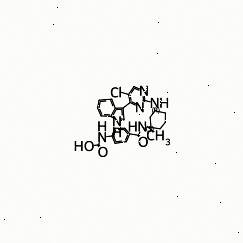 C[C@]1(NC(=O)c2ccc(NC(=O)O)cc2)CCC[C@@H](Nc2ncc(Cl)c(-c3c[nH]c4ccccc34)n2)C1